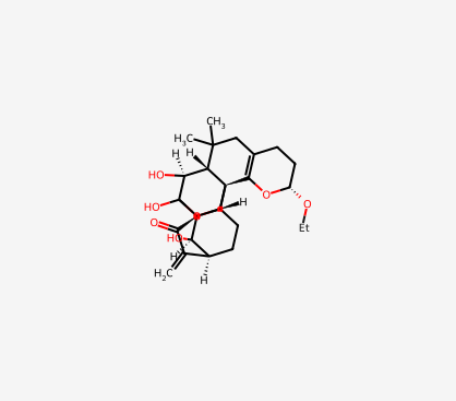 C=C1C(=O)[C@]23[C@H](O)[C@H]1CC[C@H]2[C@@]12COC3(O)[C@@H](O)[C@@H]1C(C)(C)CC1=C2O[C@@H](OCC)CC1